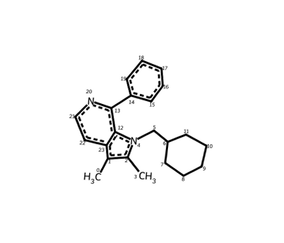 Cc1c(C)n(CC2CCCCC2)c2c(-c3ccccc3)nccc12